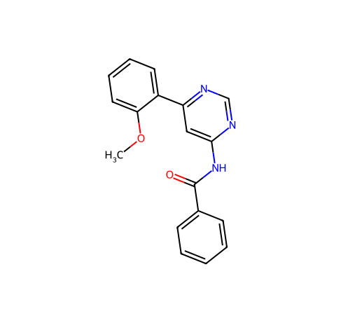 COc1ccccc1-c1cc(NC(=O)c2ccccc2)ncn1